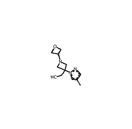 Cc1cnn(C2(CC#N)CN(C3COC3)C2)c1